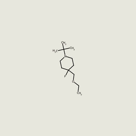 CCOCC1(F)CCN(C(C)(C)C)CC1